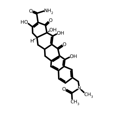 CC(=O)N(C)Cc1ccc2cc3c(c(O)c2c1)C(=O)C1=C(O)[C@]2(O)C(=O)C(C(N)=O)=C(O)C[C@@H]2CC1C3